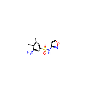 Cc1cc(S(=O)(=O)Nc2ccon2)cc(N)c1C